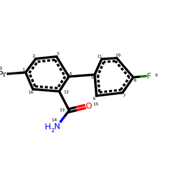 CC(C)c1ccc(-c2ccc(F)cc2)c(C(N)=O)c1